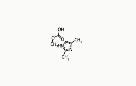 COC(=O)O.Cc1c[nH]c(C)n1